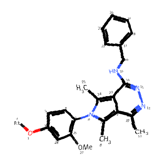 CCOc1ccc(-n2c(C)c3c(C)nnc(NCc4ccccc4)c3c2C)c(OC)c1